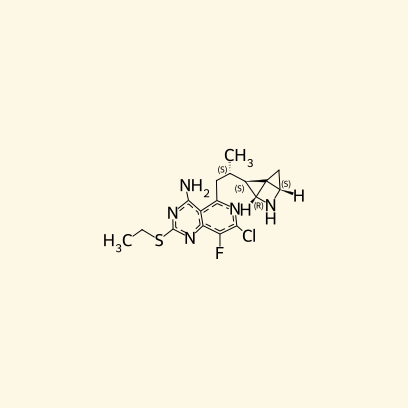 CCSc1nc(N)c2c(C[C@H](C)[C@@H]3[C@H]4N[C@H]5CC354)nc(Cl)c(F)c2n1